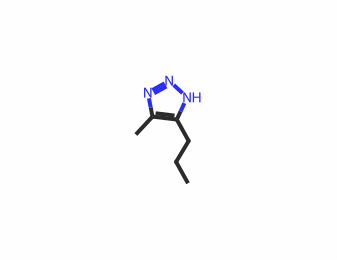 CCCc1[nH]nnc1C